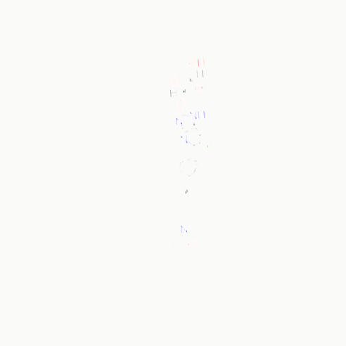 [O-][S+](C1CC1)N1CCC(C#Cc2ccc(-c3nc4nc(OC5CO[C@@H]6C(O)CO[C@H]56)[nH]c4cc3Cl)cc2)CC1